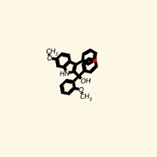 COc1ccc2c(-c3ccccc3)c(C(O)(c3ccccc3)c3ccccc3OC)[nH]c2c1